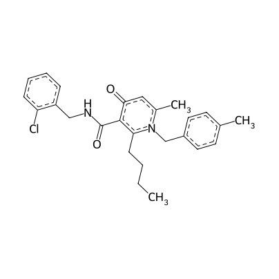 CCCCc1c(C(=O)NCc2ccccc2Cl)c(=O)cc(C)n1Cc1ccc(C)cc1